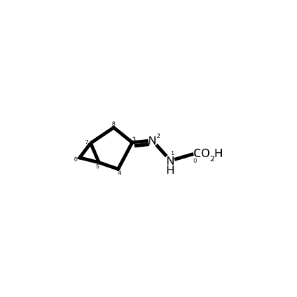 O=C(O)NN=C1CC2CC2C1